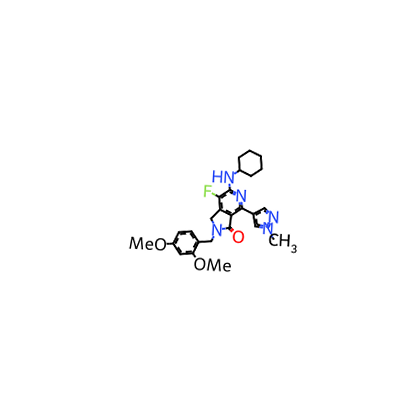 COc1ccc(CN2Cc3c(F)c(NC4CCCCC4)nc(-c4cnn(C)c4)c3C2=O)c(OC)c1